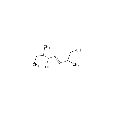 CCC(C)C(O)C=CC(C)CO